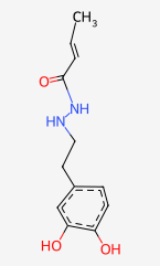 CC=CC(=O)NNCCc1ccc(O)c(O)c1